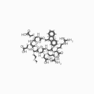 CSCC[C@H](NC(=O)[C@H](CCC(=O)O)NC(=O)[C@H](CCC(=O)O)NC(=O)OCC1c2ccccc2-c2ccccc21)C(=O)N[C@@H](CCC(=O)O)C(=O)N[C@@H](CCCNC(=N)N)C(=O)N[C@@H](CCCNC(=N)N)C(=O)O